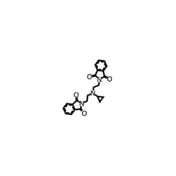 O=C1c2ccccc2C(=O)N1CCN(CCN1C(=O)c2ccccc2C1=O)C1CC1